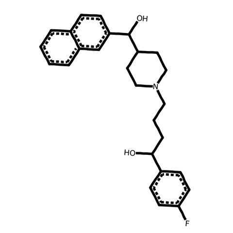 OC(CCCN1CCC(C(O)c2ccc3ccccc3c2)CC1)c1ccc(F)cc1